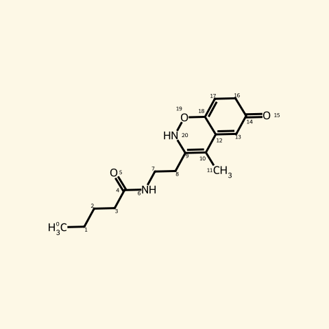 CCCCC(=O)NCCC1=C(C)C2=CC(=O)CC=C2ON1